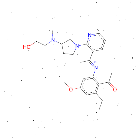 CCc1cc(OC)cc(/N=C(\C)c2cccnc2N2CCC(N(C)CCO)C2)c1C(C)=O